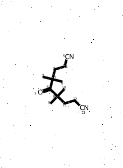 CC(C)(CCC#N)C(=O)C(C)(C)CCC#N